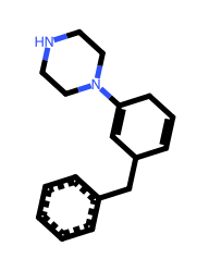 C1=CC(Cc2ccccc2)C=C(N2CCNCC2)C1